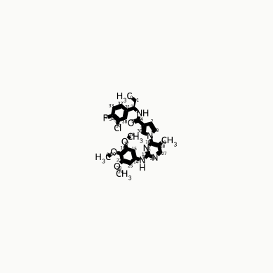 CC[C@@H](NC(=O)c1ccn(-c2nc(Nc3cc(OC)c(OC)c(OC)c3)ncc2C)c1)c1ccc(F)c(Cl)c1